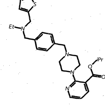 CCN(Cc1ccc(CN2CCN(c3ncccc3C(=O)OC(C)C)CC2)cc1)Cc1cccs1